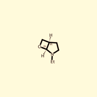 CCN1CC[C@@H]2CO[C@@H]21